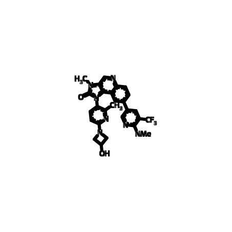 CNc1ncc(-c2ccc3ncc4c(c3c2)n(-c2ccc(N3CC(O)C3)nc2C)c(=O)n4C)cc1C(F)(F)F